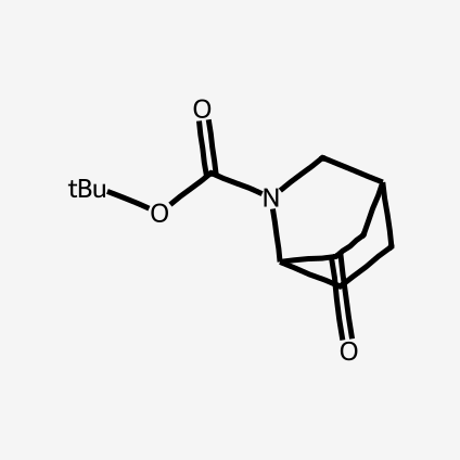 CC(C)(C)OC(=O)N1CC2CCC1C(=O)C2